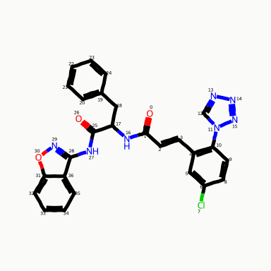 O=C(C=Cc1cc(Cl)ccc1-n1cnnn1)NC(Cc1ccccc1)C(=O)Nc1noc2ccccc12